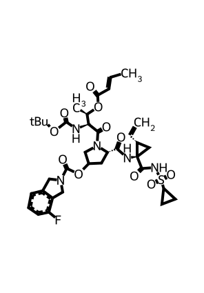 C=C[C@@H]1C[C@]1(NC(=O)[C@@H]1CC(OC(=O)N2Cc3cccc(F)c3C2)CN1C(=O)[C@@H](NC(=O)OC(C)(C)C)[C@@H](C)OC(=O)/C=C/C)C(=O)NS(=O)(=O)C1CC1